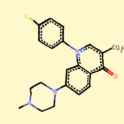 CN1CCN(c2ccc3c(=O)c(C(=O)O)cn(-c4ccc(F)cc4)c3c2)CC1